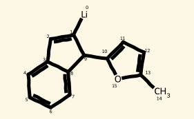 [Li][C]1=Cc2ccccc2C1c1ccc(C)o1